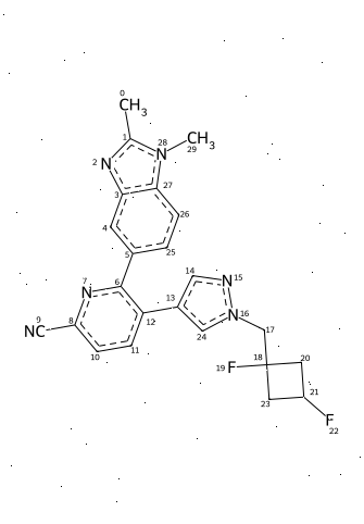 Cc1nc2cc(-c3nc(C#N)ccc3-c3cnn(CC4(F)CC(F)C4)c3)ccc2n1C